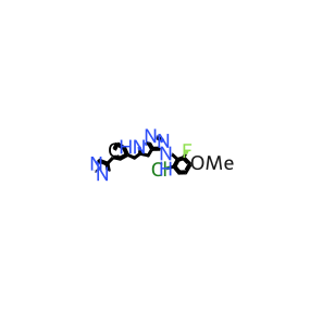 COc1ccc(Cl)c(CNc2ncnc3c2CC(Cc2cccc(-c4cncnc4)c2)N3)c1F